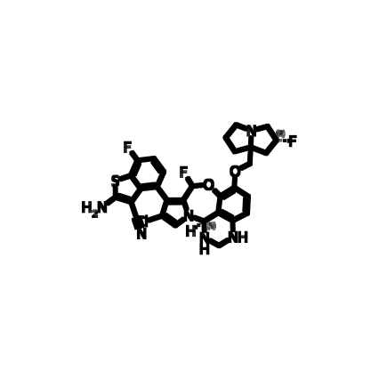 N#Cc1c(N)sc2c(F)ccc(-c3c(Cl)cn4c3C(F)Oc3c(OCC56CCCN5C[C@H](F)C6)ccc5c3[C@H]4NCN5)c12